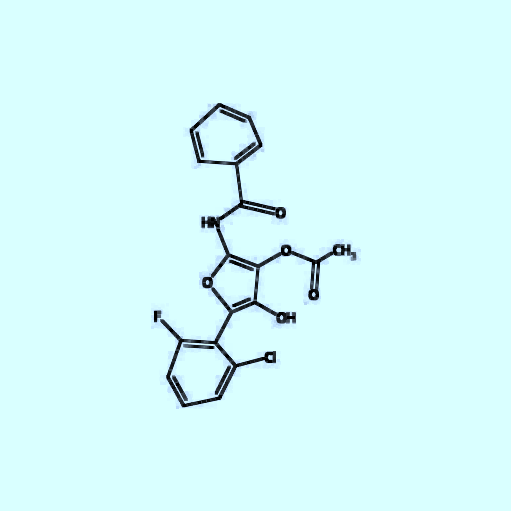 CC(=O)Oc1c(NC(=O)c2ccccc2)oc(-c2c(F)cccc2Cl)c1O